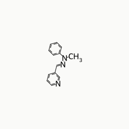 CN(N=Cc1cccnc1)c1ccccc1